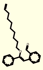 C=CCCCCCCCCOC(=Cc1ccccc1C=O)c1ccccc1